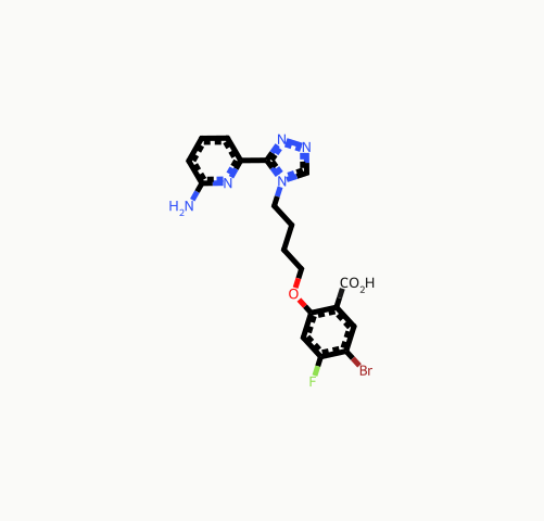 Nc1cccc(-c2nncn2CCCCOc2cc(F)c(Br)cc2C(=O)O)n1